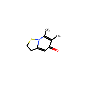 Cc1c(C(F)(F)F)n2c(cc1=O)CCS2